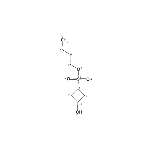 CCCCOS(=O)(=O)C1CC(O)C1